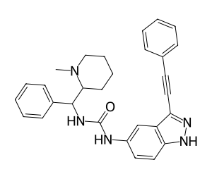 CN1CCCCC1C(NC(=O)Nc1ccc2[nH]nc(C#Cc3ccccc3)c2c1)c1ccccc1